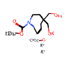 CC(C)(C)OC(=O)N1CCC(CO)(CO)CC1.O=C([O-])[O-].[K+].[K+]